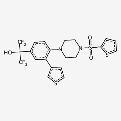 O=S(=O)(c1cccs1)N1CCN(c2ccc(C(O)(C(F)(F)F)C(F)(F)F)cc2-c2ccsc2)CC1